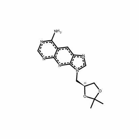 CC1(C)OC[C@H](Cn2cnc3cc4c(N)ncnc4nc32)O1